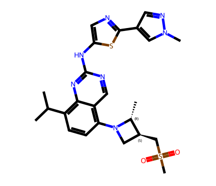 CC(C)c1ccc(N2C[C@H](CS(C)(=O)=O)[C@H]2C)c2cnc(Nc3cnc(-c4cnn(C)c4)s3)nc12